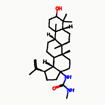 C=C(C)[C@@H]1CCC2(NC(=O)NC)CC[C@]3(C)C(CC[C@@H]4C5(C)CCC(O)C(C)(C)[C@@H]5CCC43C)[C@@H]12